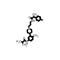 Cc1ccc(NC(=O)C(C)C)cc1C1CCN(CCCNC(=O)[C@@H](C)c2ccc(F)cc2)CC1